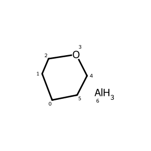 C1CCOCC1.[AlH3]